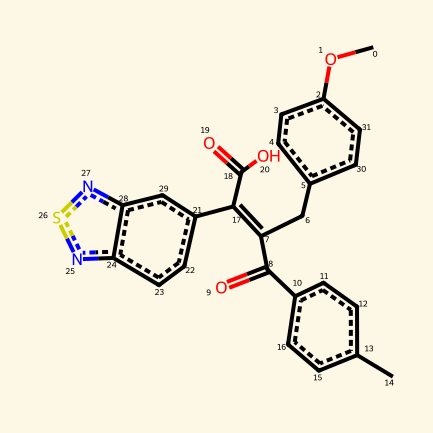 COc1ccc(CC(C(=O)c2ccc(C)cc2)=C(C(=O)O)c2ccc3nsnc3c2)cc1